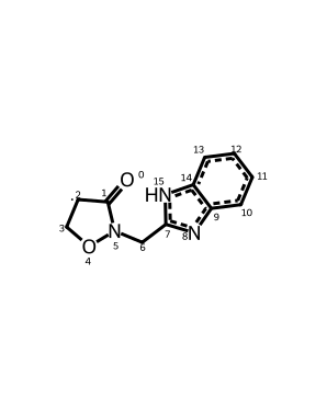 O=C1[CH]CON1Cc1nc2ccccc2[nH]1